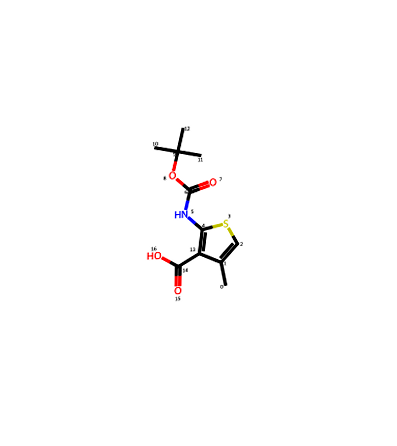 Cc1csc(NC(=O)OC(C)(C)C)c1C(=O)O